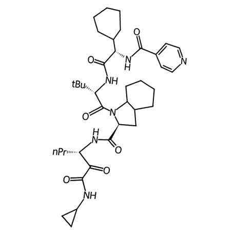 CCC[C@H](NC(=O)[C@@H]1CC2CCCCC2N1C(=O)[C@@H](NC(=O)[C@@H](NC(=O)c1ccncc1)C1CCCCC1)C(C)(C)C)C(=O)C(=O)NC1CC1